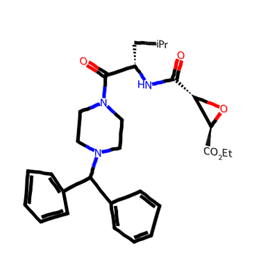 CCOC(=O)[C@@H]1O[C@H]1C(=O)N[C@@H](CC(C)C)C(=O)N1CCN(C(c2ccccc2)c2ccccc2)CC1